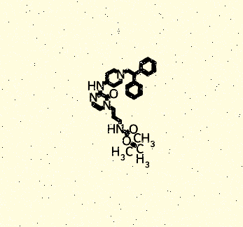 CC(C)(C)OC(=O)NCCCn1ccnc(NC2CCN(CC(c3ccccc3)c3ccccc3)CC2)c1=O